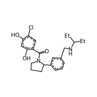 CCC(CC)NCc1cccc(C2CCCN2C(=O)c2cc(Cl)c(O)cc2O)c1